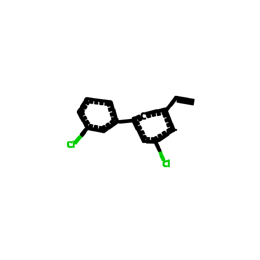 C=Cc1[c]c(Cl)cc(-c2cccc(Cl)c2)c1